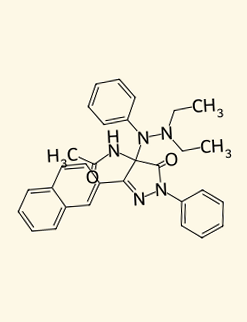 CCN(CC)N(c1ccccc1)C1(NC(C)=O)C(=O)N(c2ccccc2)N=C1c1ccc2ccccc2c1